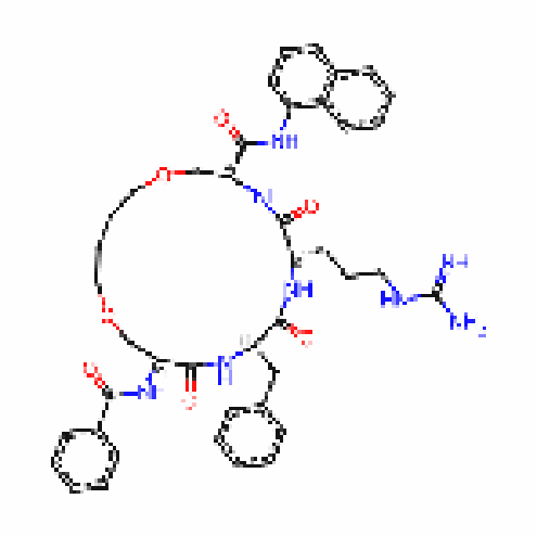 N=C(N)NCCC[C@@H]1NC(=O)[C@@H](Cc2ccccc2)NC(=O)[C@@H](NC(=O)c2ccccc2)COCCCCOC[C@@H](C(=O)Nc2cccc3ccccc23)NC1=O